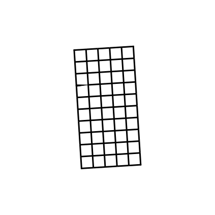 C1C2C3C4C5CC6C7C8C9C%10C%11C%12C%13C%14CC%15C%16C%17C%18CC%19C%20C%21C%22C%23C%24C%25C%26C1C21C32C43C56C74C85C96C%107C89C6%10C56C34C23C%261C%251C%242C%234C%225C%21%22C%20%21C%19%18C%17%18C%16%17C%15%14C%13%14C%17%13C%21%18C%22%15C5(C48C2%10C136)C91C%117[C@]%12%14C%15%131